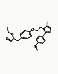 CCOC(C=O)Cc1ccc(OCCn2c(C)ccc2-c2ccc(SC)cc2)cc1